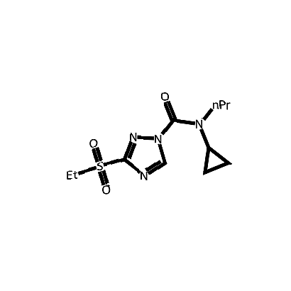 CCCN(C(=O)n1cnc(S(=O)(=O)CC)n1)C1CC1